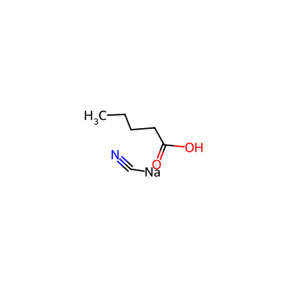 CCCCC(=O)O.N#[C][Na]